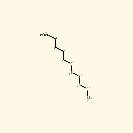 CCCCCCCCCCCCSSSSSC(C)(C)C